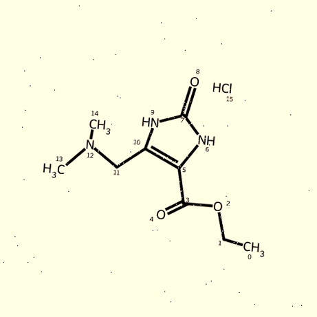 CCOC(=O)c1[nH]c(=O)[nH]c1CN(C)C.Cl